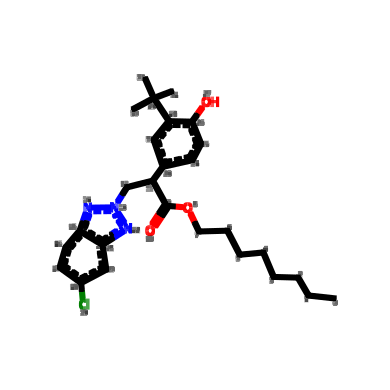 CCCCCCCCOC(=O)C(Cn1nc2ccc(Cl)cc2n1)c1ccc(O)c(C(C)(C)C)c1